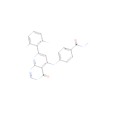 CCNC(=O)c1ccc(Nc2cc(-c3c(F)cccc3F)nc3nc[nH]c(=O)c23)cc1